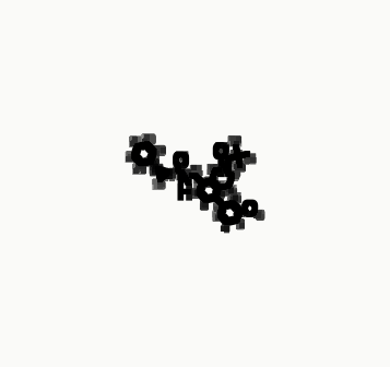 COc1cccc(-c2ccc(CNC(=O)[C@@H]3C[C@H]3c3ccccc3)c3c2CCN(C(=O)C(C)(C)C)C3)c1